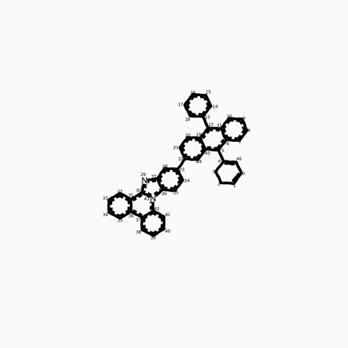 C1=CCCC(c2c3ccccc3c(-c3ccccc3)c3ccc(-c4ccc5c(c4)nc4c6ccccc6c6ccccc6n54)cc23)=C1